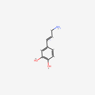 NC/C=C/c1ccc(O)c(O)c1